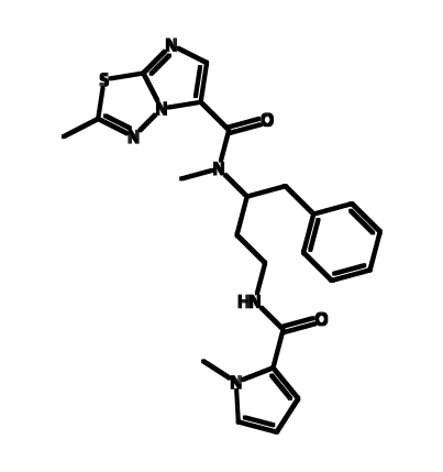 Cc1nn2c(C(=O)N(C)C(CCNC(=O)c3cccn3C)Cc3ccccc3)cnc2s1